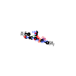 CC(C)c1ccccc1[C@H]1COCCN1C1CC2(CCN(c3ccc(C(=O)NS(=O)(=O)c4cnc(NCC5CCC(C)(C)CC5)c([N+](=O)[O-])c4)c(Oc4cc5cc[nH]c5nc4Cl)c3)CC2)C1